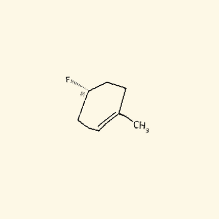 CC1=CC[C@H](F)CC1